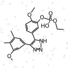 CCOP(=O)(O)Oc1cc(-c2[nH]nnc2-c2cc(C)c(C)c(OC)c2)ccc1OC